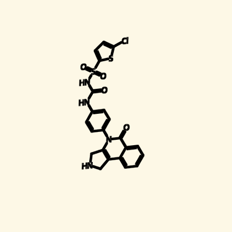 O=C(Nc1ccc(-n2c3c(c4ccccc4c2=O)CNC3)cc1)NS(=O)(=O)c1ccc(Cl)s1